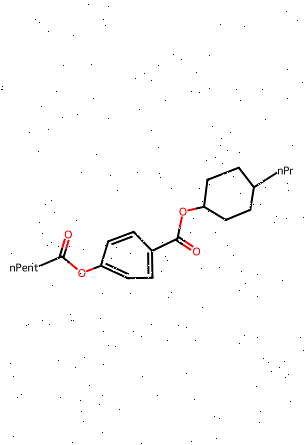 CCCCCC(=O)Oc1ccc(C(=O)OC2CCC(CCC)CC2)cc1